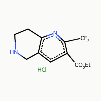 CCOC(=O)c1cc2c(nc1C(F)(F)F)CCNC2.Cl